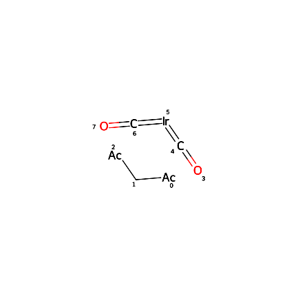 CC(=O)CC(C)=O.O=[C]=[Ir]=[C]=O